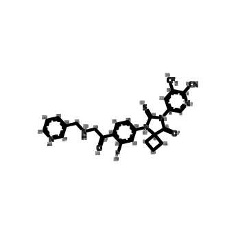 N#Cc1ncc(N2C(=O)C3(CCC3)N(c3ccc(C(=O)CNCc4cccnc4)c(F)c3)C2=S)cc1C(F)(F)F